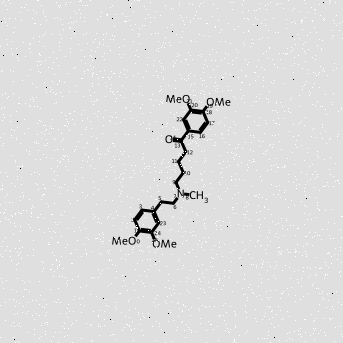 COc1ccc(CCN(C)CCCCC(=O)c2ccc(OC)c(OC)c2)cc1OC